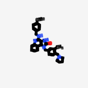 COc1ccc(CNc2nc3ccccc3c3c2[nH]c(=O)n3Cc2ccc(CN3CCCC3)c(C)c2)cc1